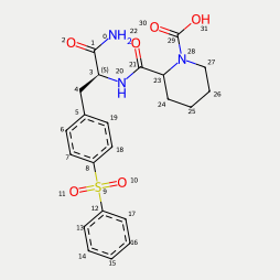 NC(=O)[C@H](Cc1ccc(S(=O)(=O)c2ccccc2)cc1)NC(=O)C1CCCCN1C(=O)O